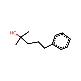 CC(C)(O)CCCc1ccccc1